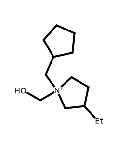 CCC1CC[N+](CO)(CC2CCCC2)C1